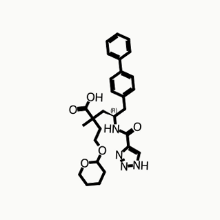 CC(CCOC1CCCCO1)(C[C@@H](Cc1ccc(-c2ccccc2)cc1)NC(=O)c1c[nH]nn1)C(=O)O